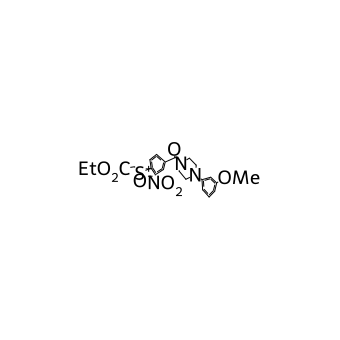 CCOC(=O)C[S+]([O-])c1ccc(C(=O)N2CCN(c3cccc(OC)c3)CC2)cc1[N+](=O)[O-]